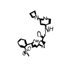 CS(=O)(=O)c1ccccc1-c1ccc2ncc(C(=O)Nc3ccnc(N4CCC4)c3)n2n1